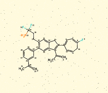 C=C(C)C1=C(C2=CC=C(F)CC=C2)Cc2cc(CCC(F)(F)P)c(-c3cccc(C(=C)C)c3)cc21